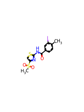 Cc1ccc(C(=O)Nc2nc(S(C)(=O)=O)cs2)cc1I